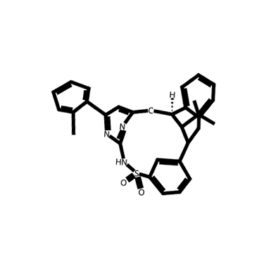 Cc1ccccc1-c1cc2nc(n1)NS(=O)(=O)c1cccc(c1)C1Cc3ccccc3[C@H](C2)C1C(C)C